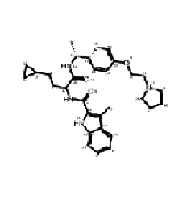 Cc1c(C(=O)N[C@@H](CCC2CC2)C(=O)N[C@H](C)[C@H]2C=CC(OCCN3CCCC3)=CC2)[nH]c2ccccc12